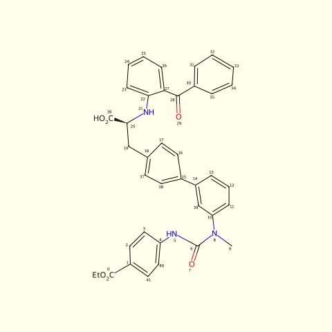 CCOC(=O)c1ccc(NC(=O)N(C)c2cccc(-c3ccc(C[C@H](Nc4ccccc4C(=O)c4ccccc4)C(=O)O)cc3)c2)cc1